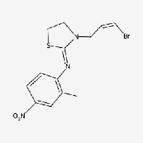 Cc1cc([N+](=O)[O-])ccc1/N=C1\SCCN1C/C=C\Br